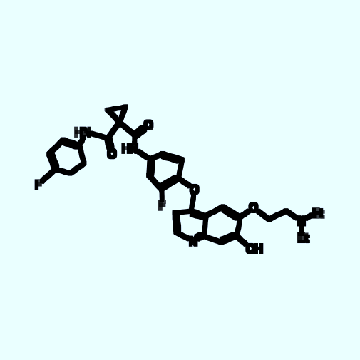 CCN(CC)CCOc1cc2c(Oc3ccc(NC(=O)C4(C(=O)NC5=CC=C(F)CC5)CC4)cc3F)ccnc2cc1O